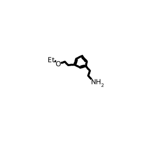 CCOCCc1cccc(CCN)c1